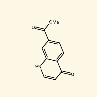 COC(=O)c1ccc2c(=O)cc[nH]c2c1